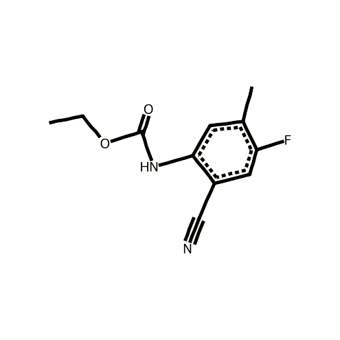 CCOC(=O)Nc1cc(C)c(F)cc1C#N